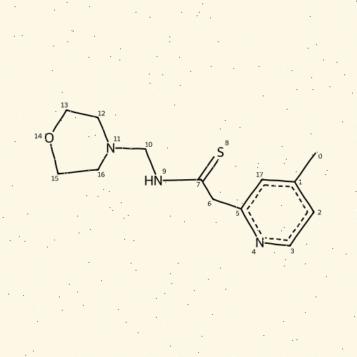 Cc1ccnc(CC(=S)NCN2CCOCC2)c1